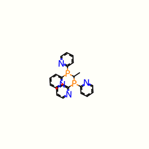 CC(P(c1ccccn1)c1ccccn1)P(c1ccccn1)c1ccccn1